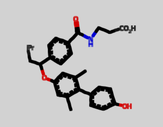 Cc1cc(OC(CC(C)C)c2ccc(C(=O)NCCC(=O)O)cc2)cc(C)c1-c1ccc(O)cc1